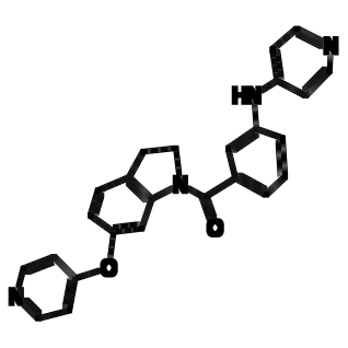 O=C(c1cccc(Nc2ccncc2)c1)N1CCc2ccc(Oc3ccncc3)cc21